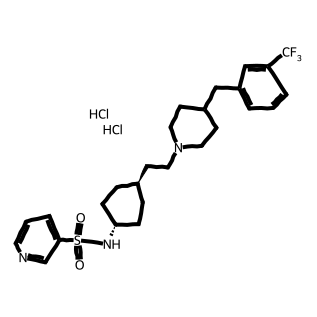 Cl.Cl.O=S(=O)(N[C@H]1CC[C@H](CCN2CCC(Cc3cccc(C(F)(F)F)c3)CC2)CC1)c1cccnc1